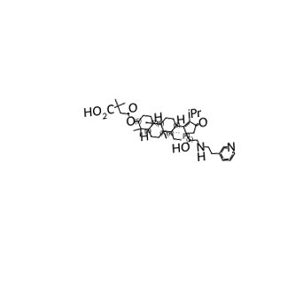 CC(C)C1=C2[C@H]3CC[C@@H]4[C@@]5(C)CC[C@H](OC(=O)CC(C)(C)C(=O)O)C(C)(C)[C@@H]5CC[C@@]4(C)[C@]3(C)CC[C@@]2([C@H](O)CNCCc2cccnc2)CC1=O